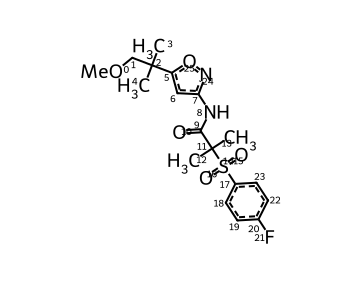 COCC(C)(C)c1cc(NC(=O)C(C)(C)S(=O)(=O)c2ccc(F)cc2)no1